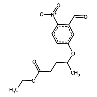 CCOC(=O)CCC(C)Oc1ccc([N+](=O)[O-])c(C=O)c1